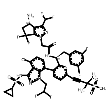 CC(C)(C#Cc1ccc(-c2ccc(Cl)c3c(NS(=O)(=O)C4CC4)nn(CC(F)F)c23)c([C@H](Cc2cc(F)cc(F)c2)NC(=O)Cn2nc(C(F)F)c3c2C(F)(F)C[C@@H]3N)n1)S(C)(=O)=O